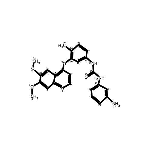 COc1cc2nccc(Oc3cc(NC(=O)Nc4cccc(N)c4)ccc3C)c2cc1OC